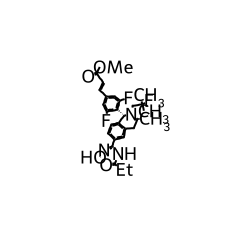 CCC(=O)N/C(=N\O)c1ccc2c(c1)C[C@H](C)N(CC(C)(C)F)[C@H]2c1c(F)cc(/C=C/C(=O)OC)cc1F